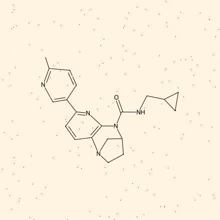 Cc1ccc(-c2ccc3c(n2)N(C(=O)NCC2CC2)C2CCN3C2)cn1